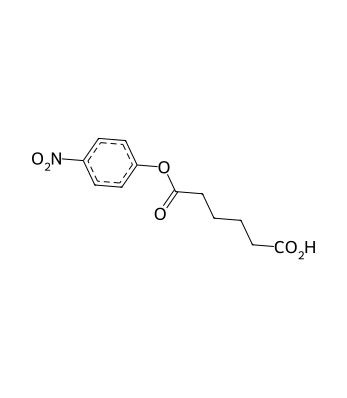 O=C(O)CCCCC(=O)Oc1ccc([N+](=O)[O-])cc1